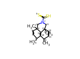 CC1C=CC2(C)CN(C(=S)S)CC3(C)C=CC(C)C1=C23